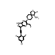 C[C@@H]1OCC2(CCN(c3nc4[nH]nc(C#Cc5c(F)cc(Cl)cc5F)c4nc3CF)CC2)[C@@H]1N